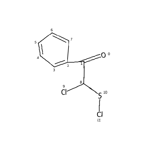 O=C(c1ccccc1)C(Cl)SCl